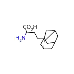 NC(CCC12CC3CC(CC(C3)C1)C2)C(=O)O